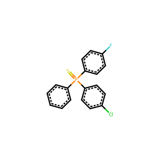 Fc1ccc(P(=S)(c2ccccc2)c2ccc(Cl)cc2)cc1